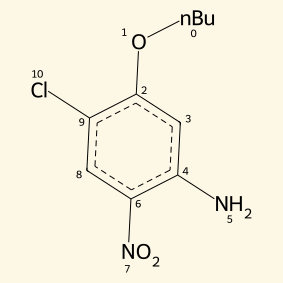 CCCCOc1cc(N)c([N+](=O)[O-])cc1Cl